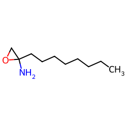 CCCCCCCCC1(N)CO1